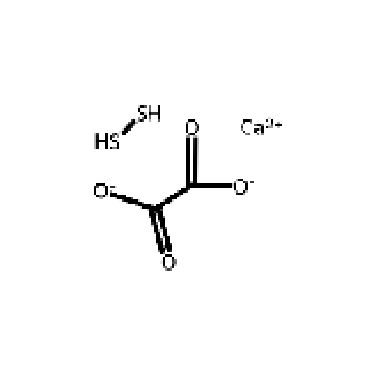 O=C([O-])C(=O)[O-].SS.[Ca+2]